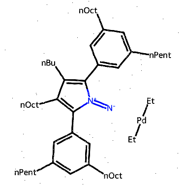 CCCCCCCCC1=C(c2cc(CCCCC)cc(CCCCCCCC)c2)[N+](=[N-])C(c2cc(CCCCC)cc(CCCCCCCC)c2)=C1CCCC.C[CH2][Pd][CH2]C